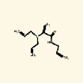 C=CCNC(=O)C(=C)N(CC=C)CC=C